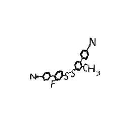 Cc1cc(SCSc2ccc(-c3ccc(C#N)cc3)c(F)c2)ccc1-c1ccc(C#N)cc1